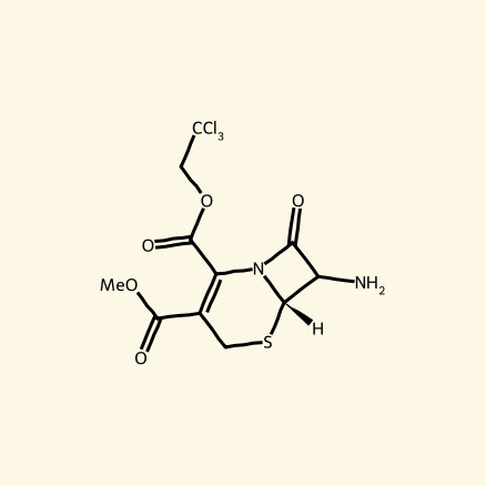 COC(=O)C1=C(C(=O)OCC(Cl)(Cl)Cl)N2C(=O)C(N)[C@@H]2SC1